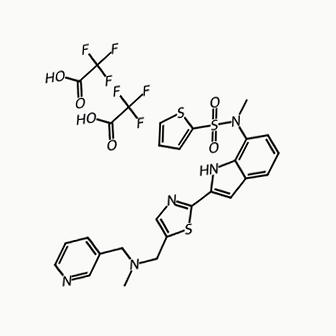 CN(Cc1cccnc1)Cc1cnc(-c2cc3cccc(N(C)S(=O)(=O)c4cccs4)c3[nH]2)s1.O=C(O)C(F)(F)F.O=C(O)C(F)(F)F